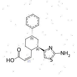 Nc1nc([C@@H]2C[C@@H](c3ccccc3)CCC2/C=C\C(=O)O)cs1